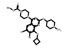 CN1CCC(Oc2nc(N3CCN(C(=O)OC(C)(C)C)CC3)c3cc(Cl)c(Br)c(OC4CCC4)c3n2)CC1